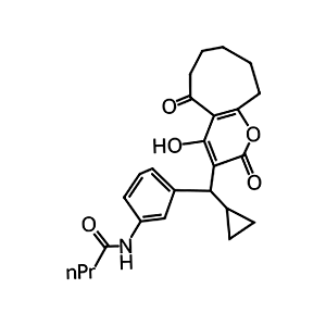 CCCC(=O)Nc1cccc(C(c2c(O)c3c(oc2=O)CCCCCC3=O)C2CC2)c1